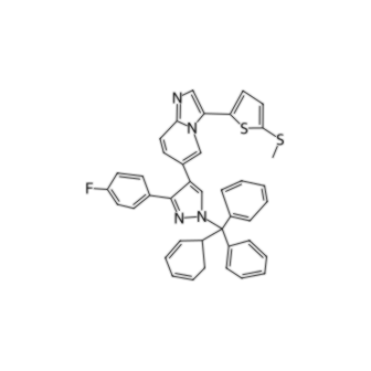 CSc1ccc(-c2cnc3ccc(-c4cn(C(c5ccccc5)(c5ccccc5)C5C=CC=CC5)nc4-c4ccc(F)cc4)cn23)s1